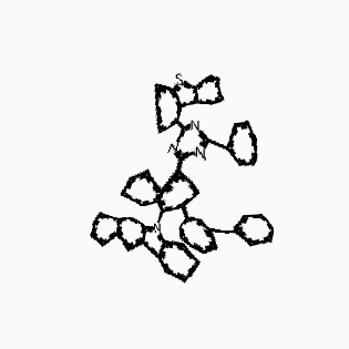 c1ccc(-c2cccc(-c3cc(-c4nc(-c5ccccc5)nc(-c5cccc6sc7ccccc7c56)n4)c4ccccc4c3-n3c4ccccc4c4cc5ccccc5cc43)c2)cc1